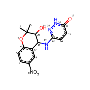 CC1(C)Oc2ccc([N+](=O)[O-])cc2C(Nc2ccc(=O)[nH]n2)C1O